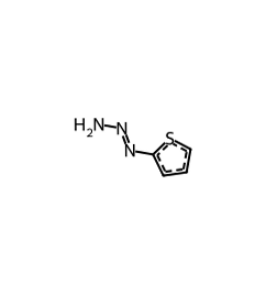 N/N=N/c1cccs1